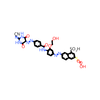 N#CN=C1NC(=O)C(/N=N/c2ccc(C(=O)Nc3ccc(/N=N/c4ccc5cc(SOOO)cc(S(=O)(=O)O)c5c4)cc3OCCO)cc2)C(=O)N1